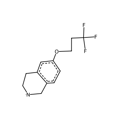 FC(F)(F)CCOc1ccc2c(c1)CC[N]C2